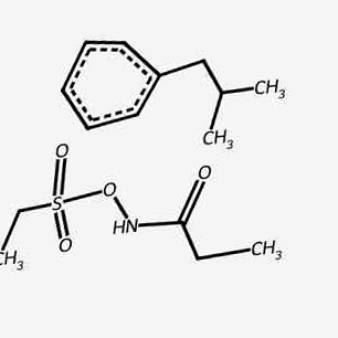 CC(C)Cc1ccccc1.CCC(=O)NOS(=O)(=O)CC